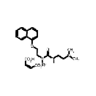 CC(C)N(CCOc1cccc2ccccc12)C(=O)NCCN(C)C.O=C(O)/C=C\C(=O)O